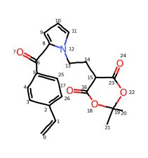 C=Cc1ccc(C(=O)c2cccn2CCC2C(=O)OC(C)(C)OC2=O)cc1